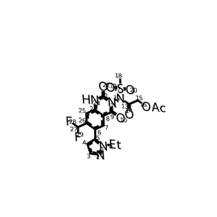 CCn1nccc1-c1cc2c(=O)n(N(C(=O)COC(C)=O)S(C)(=O)=O)c(=O)[nH]c2cc1C(F)F